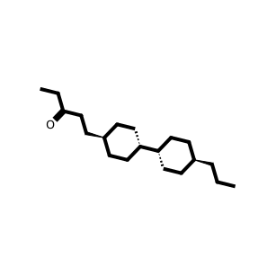 CCC[C@H]1CC[C@H]([C@H]2CC[C@H](CCC(=O)CC)CC2)CC1